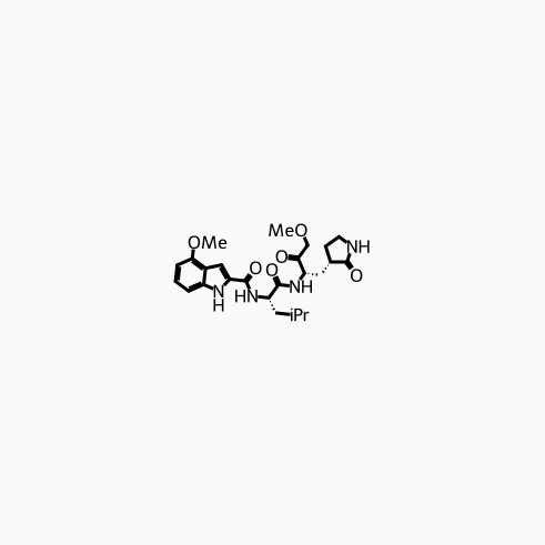 COCC(=O)[C@H](C[C@@H]1CCNC1=O)NC(=O)[C@H](CC(C)C)NC(=O)c1cc2c(OC)cccc2[nH]1